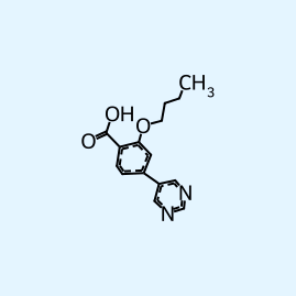 CCCCOc1cc(-c2cncnc2)ccc1C(=O)O